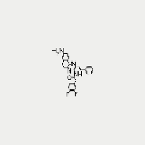 Nc1ccc2c(c1)CCc1nc(NC(=O)Cc3ccc(F)c(F)c3)c(/C=C/c3ccccc3)nc1-2